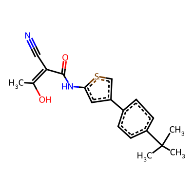 CC(O)=C(C#N)C(=O)Nc1cc(-c2ccc(C(C)(C)C)cc2)cs1